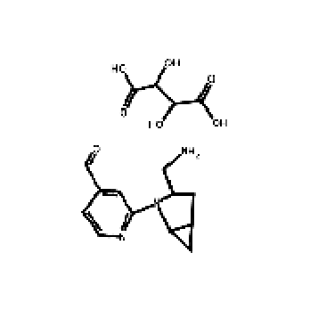 NCC1CC2CC2N1c1cc(C=O)ccn1.O=C(O)C(O)C(O)C(=O)O